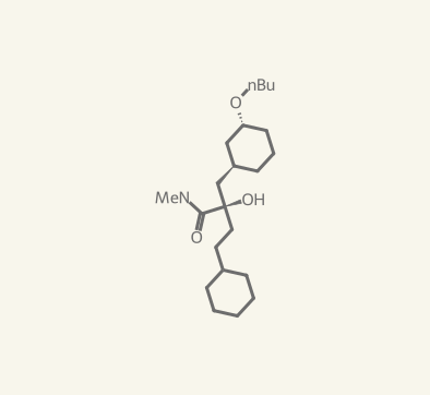 CCCCO[C@@H]1CCC[C@@H](C[C@](O)(CCC2CCCCC2)C(=O)NC)C1